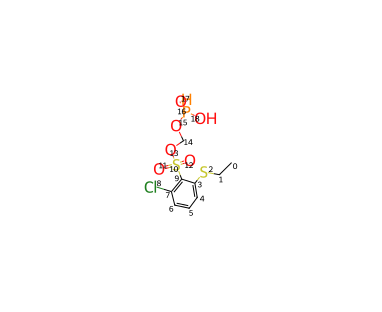 CCSc1cccc(Cl)c1S(=O)(=O)OCO[PH](=O)O